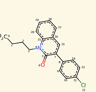 O=C(O)CCCn1c(=O)c(-c2ccc(Cl)cc2)cc2ccccc21